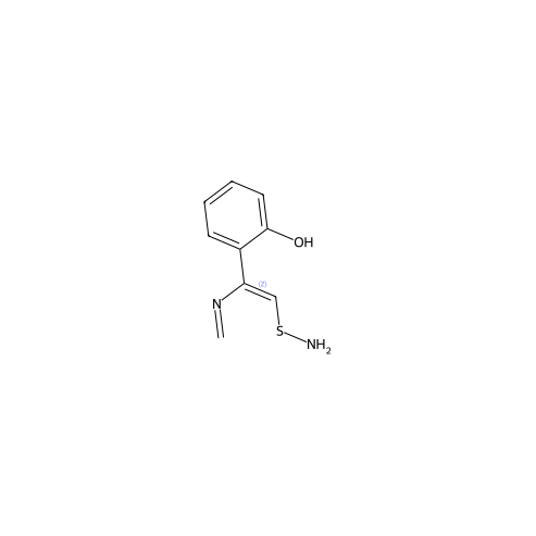 C=N/C(=C\SN)c1ccccc1O